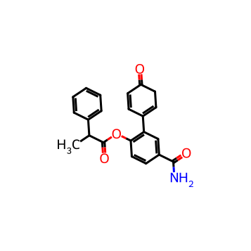 CC(C(=O)Oc1ccc(C(N)=O)cc1C1=CCC(=O)C=C1)c1ccccc1